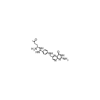 CC(=O)CCC(N)NC(=N)c1ccc(NCc2cnc3nc(N)[nH]c(=O)c3n2)cc1